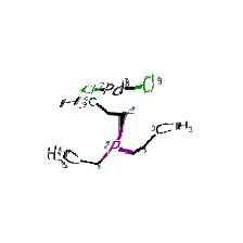 CCP(CC)CC.[Cl][Pd][Cl]